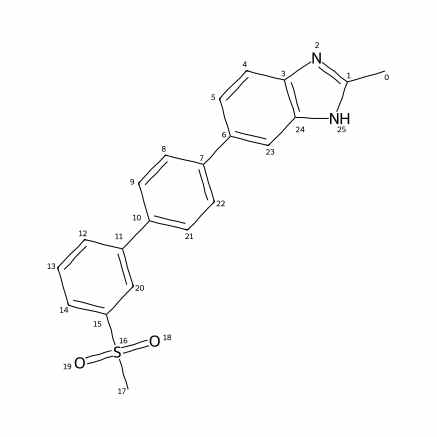 Cc1nc2ccc(-c3ccc(-c4cccc(S(C)(=O)=O)c4)cc3)cc2[nH]1